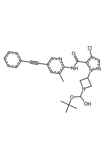 Cc1cc(C#Cc2ccccc2)cnc1NC(=O)c1c(Cl)cnn1C1CN(C(O)OC(C)(C)C)C1